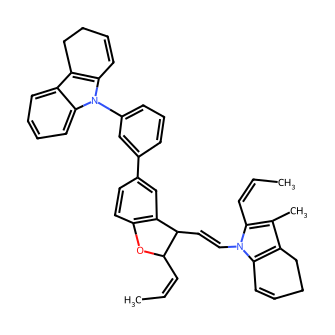 C/C=C\c1c(C)c2c(n1/C=C/C1c3cc(-c4cccc(-n5c6c(c7ccccc75)CCC=C6)c4)ccc3OC1/C=C\C)C=CCC2